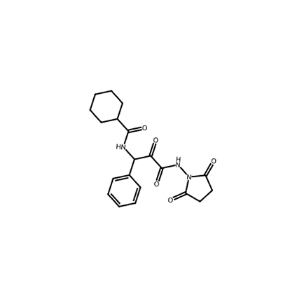 O=C(NN1C(=O)CCC1=O)C(=O)C(NC(=O)C1CCCCC1)c1ccccc1